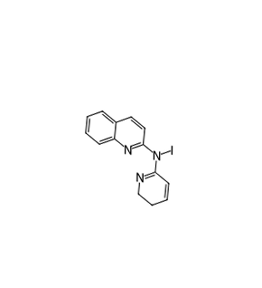 IN(C1=NCCC=C1)c1ccc2ccccc2n1